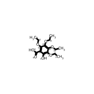 CCOc1c(O)c(C(=O)O)c(OCC)c(OCC)c1OCC